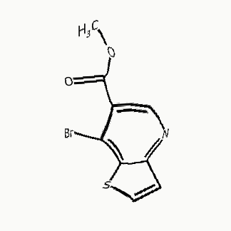 COC(=O)c1cnc2ccsc2c1Br